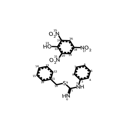 N=C(Nc1ccccc1)SCc1ccccc1.O=[N+]([O-])c1cc([N+](=O)[O-])c(O)c([N+](=O)[O-])c1